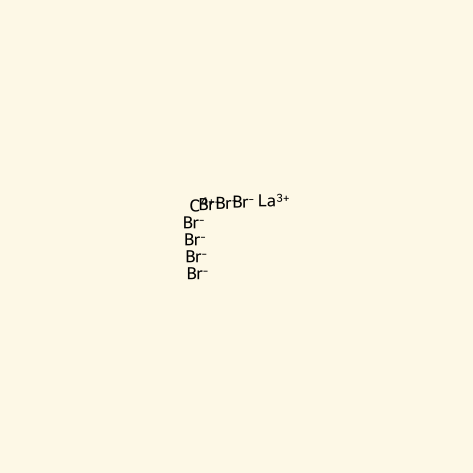 [Br-].[Br-].[Br-].[Br-].[Br-].[Br-].[Br-].[C+4].[La+3]